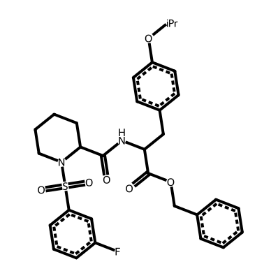 CC(C)Oc1ccc(CC(NC(=O)C2CCCCN2S(=O)(=O)c2cccc(F)c2)C(=O)OCc2ccccc2)cc1